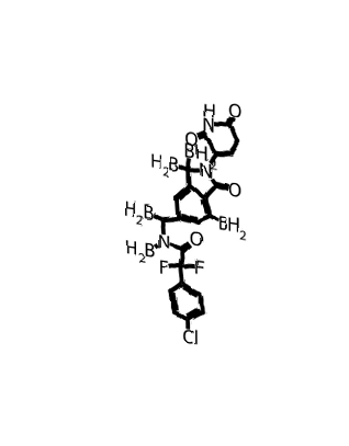 Bc1cc(C(B)N(B)C(=O)C(F)(F)c2ccc(Cl)cc2)cc2c1C(=O)N(C1CCC(=O)NC1=O)C2(B)B